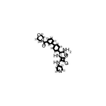 NC(=O)C(Nc1c(Nc2ccncc2)c(=O)c1=O)c1ccc(-c2cccc(C(=O)N3CCOCC3)c2)cc1